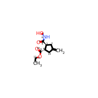 C=C1C[C@H](C(=O)NO)[C@@H](C(=O)OCC)C1